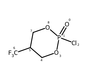 O=P1(Cl)OCC(C(F)(F)F)CO1